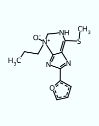 CCC[N+]1([O-])CNC(SC)=C2N=C(c3ccco3)N=C21